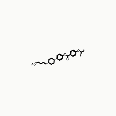 CCCCC[C@H]1CC[C@H](c2ccc(OC(=O)c3ccc(OC(F)F)cc3)cc2)CC1